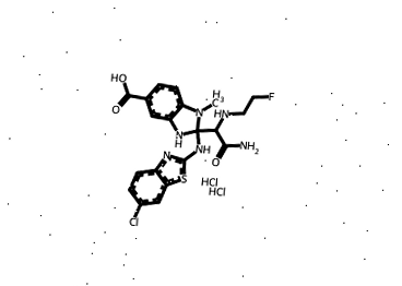 CN1c2ccc(C(=O)O)cc2NC1(Nc1nc2ccc(Cl)cc2s1)C(NCCF)C(N)=O.Cl.Cl